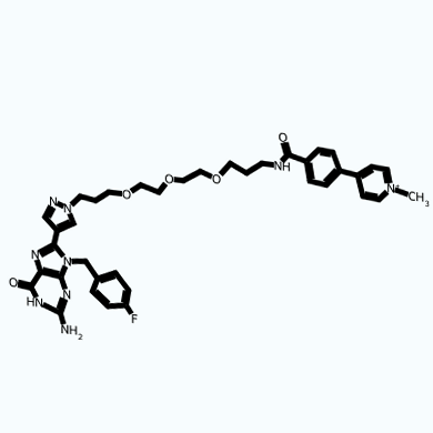 C[n+]1ccc(-c2ccc(C(=O)NCCCOCCOCCOCCCn3cc(-c4nc5c(=O)[nH]c(N)nc5n4Cc4ccc(F)cc4)cn3)cc2)cc1